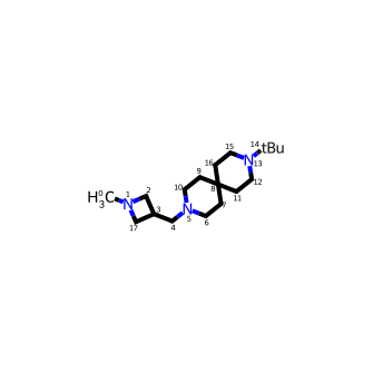 CN1CC(CN2CCC3(CC2)CCN(C(C)(C)C)CC3)C1